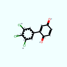 O=C1C=CC(=O)C(c2cc(Cl)c(Cl)c(Cl)c2)=C1